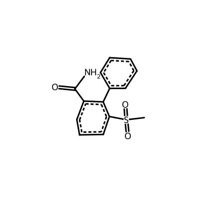 CS(=O)(=O)c1cccc(C(N)=O)c1-c1ccccc1